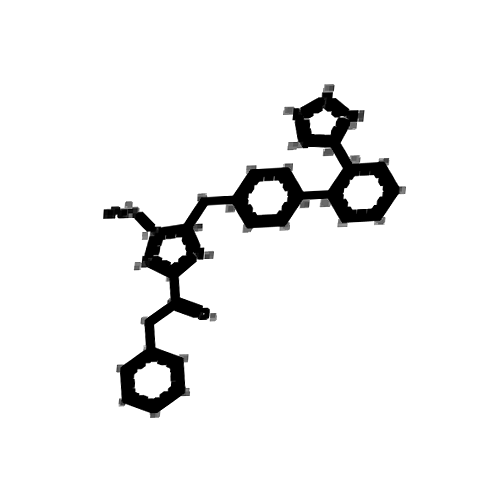 CCCCCn1nc(C(=O)Cc2ccccc2)nc1Cc1ccc(-c2ccccc2-c2nnn[nH]2)cc1